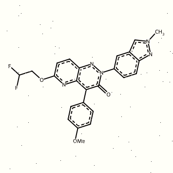 COc1ccc(-c2c(=O)n(-c3ccc4nn(C)cc4c3)nc3ccc(OCC(F)F)nc23)cc1